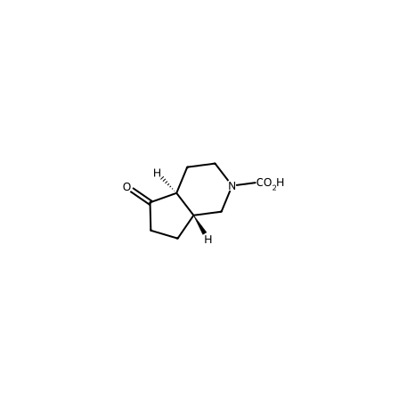 O=C1CC[C@H]2CN(C(=O)O)CC[C@H]12